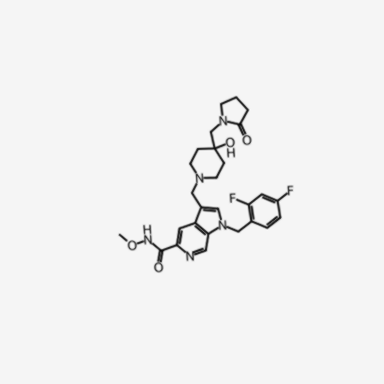 CONC(=O)c1cc2c(CN3CCC(O)(CN4CCCC4=O)CC3)cn(Cc3ccc(F)cc3F)c2cn1